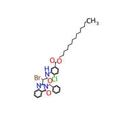 CCCCCCCCCCCCCCOC(=O)c1ccc(Cl)c(NC(=O)C(Br)c2nc3ccccc3c(=O)n2Cc2ccccc2)c1